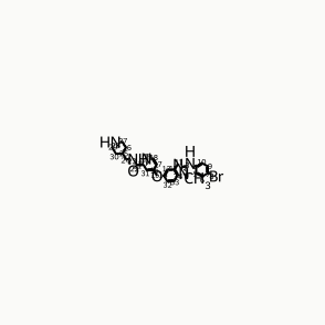 Cn1c(Nc2ccc(Br)cc2)nc2cc(Oc3ccnc(C(=O)NCC4CCNCC4)c3)ccc21